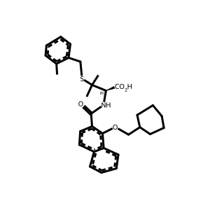 Cc1ccccc1CSC(C)(C)[C@H](NC(=O)c1ccc2ccccc2c1OCC1CCCCC1)C(=O)O